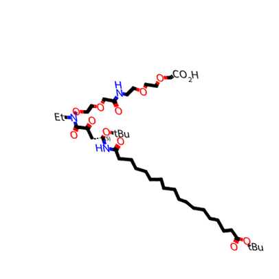 CCN(OCCOCC(=O)NCCOCCOCC(=O)O)C(=O)C(=O)C[C@@H](NC(=O)CCCCCCCCCCCCCCCCC(=O)OC(C)(C)C)OC(C)(C)C